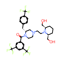 O=C(c1cc(C(F)(F)F)cc(C(F)(F)F)c1)N1CCN(CCN2[C@H](CO)CCC[C@@H]2CO)C[C@H]1Cc1ccc(C(F)(F)F)cc1